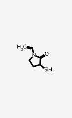 C=CN1CCC([SiH3])C1=O